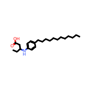 CCCCCCCCCCCCc1ccc(NC(CC)CC(=O)O)cc1